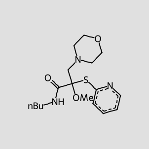 CCCCNC(=O)C(CN1CCOCC1)(OC)Sc1ccccn1